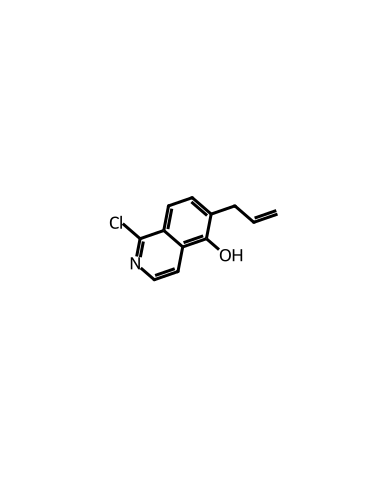 C=CCc1ccc2c(Cl)nccc2c1O